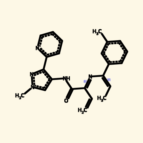 C=C/C(=N\C(=C/C)c1cccc(C)c1)C(=O)Nc1cn(C)nc1-c1ccccn1